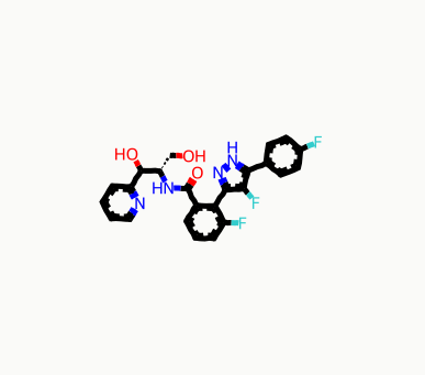 O=C(N[C@@H](CO)C(O)c1ccccn1)c1cccc(F)c1-c1n[nH]c(-c2ccc(F)cc2)c1F